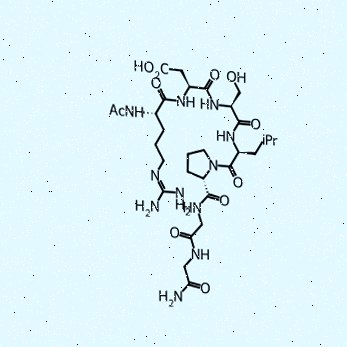 CC(=O)N[C@@H](CCCN=C(N)N)C(=O)N[C@@H](CC(=O)O)C(=O)N[C@@H](CO)C(=O)N[C@@H](CC(C)C)C(=O)N1CCC[C@H]1C(=O)NCC(=O)NCC(N)=O